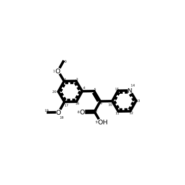 COc1cc(C=C(C(=O)O)c2cccnc2)cc(OC)c1